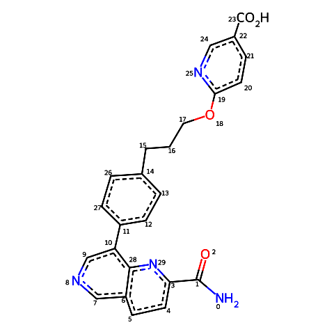 NC(=O)c1ccc2cncc(-c3ccc(CCCOc4ccc(C(=O)O)cn4)cc3)c2n1